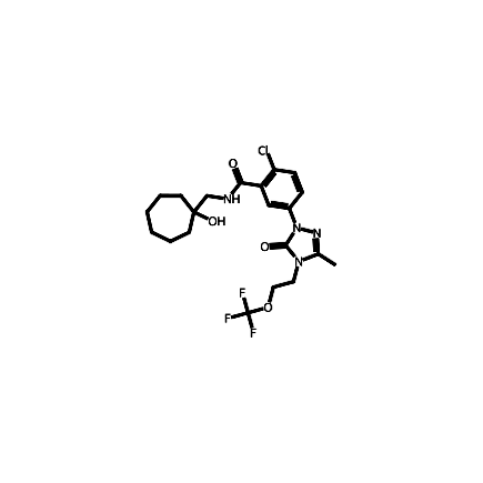 Cc1nn(-c2ccc(Cl)c(C(=O)NCC3(O)CCCCCC3)c2)c(=O)n1CCOC(F)(F)F